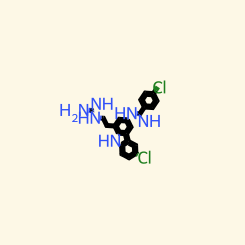 N=C(N)NCCc1cc(NC(=N)c2ccc(Cl)cc2)cc2c1[nH]c1ccc(Cl)cc12